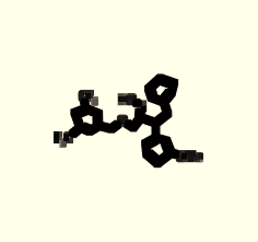 COc1cccc(C(Cc2ccccc2)/C(COCc2cc(C(F)(F)F)cc(C(F)(F)F)c2)=N/O)c1